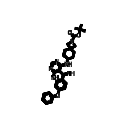 CC(C)(C)OC(=O)N1CC2(CCC(Nc3ncnc(N)c3C(=N)c3ccc(Oc4ccccc4)cc3)CC2)C1